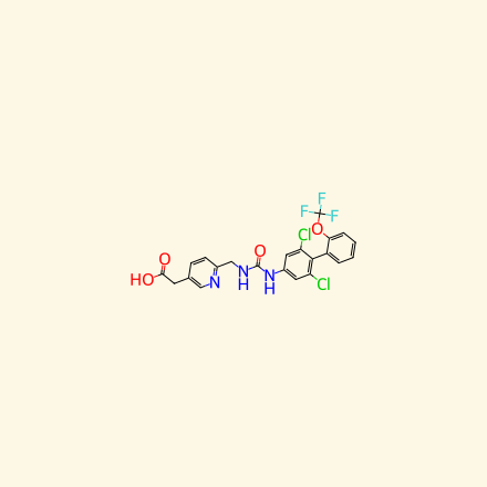 O=C(O)Cc1ccc(CNC(=O)Nc2cc(Cl)c(-c3ccccc3OC(F)(F)F)c(Cl)c2)nc1